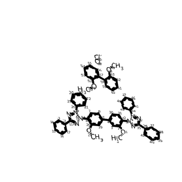 COc1cc(-c2ccc(-[n+]3nc(-c4ccccc4)nn3-c3ccccc3)c(OC)c2)ccc1-[n+]1nc(-c2ccccc2)nn1-c1ccccc1.COc1ccccc1-c1ccccc1OC.[Cl-].[Cl-]